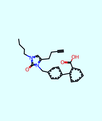 C#CCCc1cn(CCCC)c(=O)n1Cc1ccc(-c2ccccc2C(=O)O)cc1